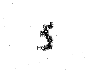 COc1cc(C(=O)N2CC(F)(F)C2)ccc1Nc1cc2cc(-c3cnn(CC(C)(C)O)c3)ccc2cn1